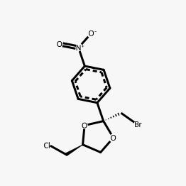 O=[N+]([O-])c1ccc([C@@]2(CBr)OC[C@@H](CCl)O2)cc1